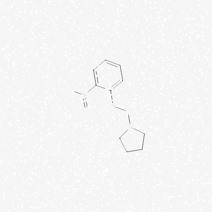 O=[N+]([O-])c1ccccc1NSN1CCCC1